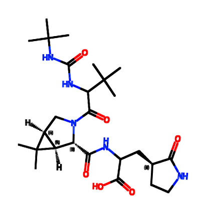 CC(C)(C)NC(=O)NC(C(=O)N1C[C@H]2[C@@H]([C@H]1C(=O)NC(C[C@@H]1CCNC1=O)C(=O)O)C2(C)C)C(C)(C)C